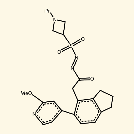 COc1cc(-c2ccc3c(c2CC(=O)N=NS(=O)(=O)C2CN(C(C)C)C2)CCC3)ccn1